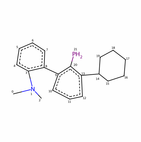 CN(C)c1ccccc1-c1cccc(C2CCCCC2)c1P